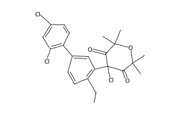 CCc1ccc(-c2ccc(Cl)cc2Cl)cc1C1(Cl)C(=O)C(C)(C)OC(C)(C)C1=O